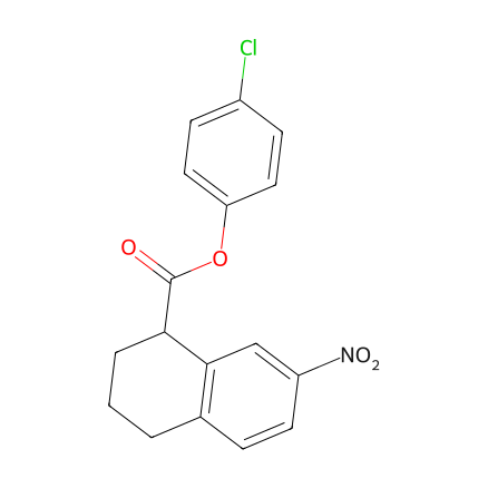 O=C(Oc1ccc(Cl)cc1)C1CCCc2ccc([N+](=O)[O-])cc21